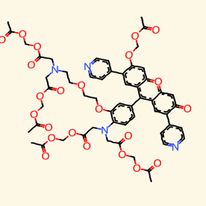 CC(=O)OCOC(=O)CN(CCOCCOc1cc(-c2c3cc(-c4ccncc4)c(=O)cc-3oc3cc(OCOC(C)=O)c(-c4ccncc4)cc23)ccc1N(CC(=O)OCOC(C)=O)CC(=O)OCOC(C)=O)CC(=O)OCOC(C)=O